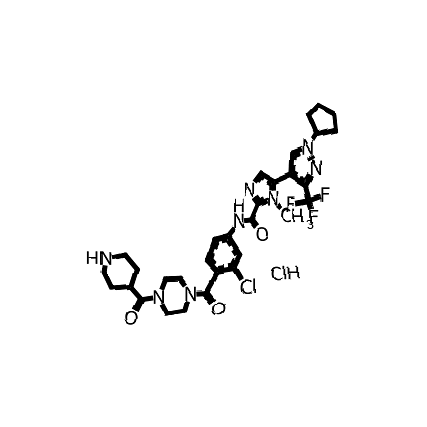 Cl.Cn1c(-c2cn(C3CCCC3)nc2C(F)(F)F)cnc1C(=O)Nc1ccc(C(=O)N2CCN(C(=O)C3CCNCC3)CC2)c(Cl)c1